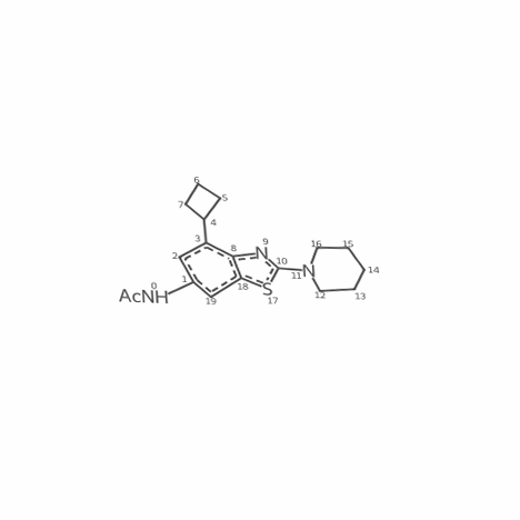 CC(=O)Nc1cc(C2CCC2)c2nc(N3CCCCC3)sc2c1